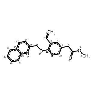 C=Cc1cc(CC(=O)OC)ccc1OCc1ccc2ccccc2n1